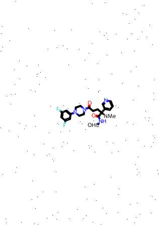 CNC(CCC(=O)N1CCN(c2cc(F)cc(F)c2)CC1)(C(=O)NC=O)c1cccnc1